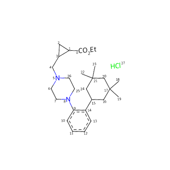 CCOC(=O)C1CC1CN1CCN(c2ccccc2C2CC(C)(C)CC(C)(C)C2)CC1.Cl